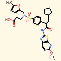 COc1ccc2nc(NC(=O)C(CC3CCCC3)c3ccc(S(=O)(=O)N(CCC(=O)O)Cc4ccc(C)o4)cc3)sc2n1